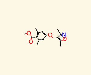 COC(=O)c1c(C)cc(OCc2c(C)noc2C)cc1C